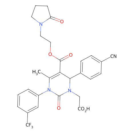 CC1=C(C(=O)OCCN2CCCC2=O)C(c2ccc(C#N)cc2)N(CC(=O)O)C(=O)N1c1cccc(C(F)(F)F)c1